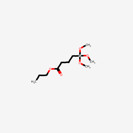 CCCOC(=O)CCC[Si](OC)(OC)OC